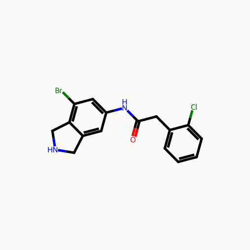 O=C(Cc1ccccc1Cl)Nc1cc(Br)c2c(c1)CNC2